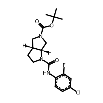 CC(C)(C)OC(=O)N1C[C@H]2CCN(C(=O)Nc3ccc(Cl)cc3F)[C@H]2C1